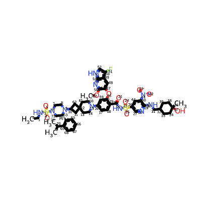 CCNS(=O)(=O)N1CCN(C2CC3(CCN(c4ccc(C(=O)NS(=O)(=O)c5cnc(NCC6CCC(C)(O)CC6)c([N+](=O)[O-])c5)c(Oc5cc6c(F)c[nH]c6nc5OC)c4)CC3)C2)[C@H](c2ccccc2C(C)C)C1